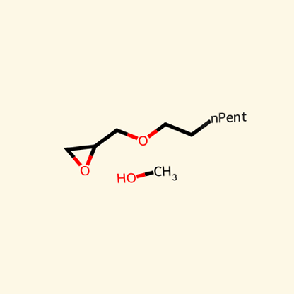 CCCCCCCOCC1CO1.CO